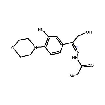 COC(=O)N/N=C(/CO)c1ccc(N2CCOCC2)c(C#N)c1